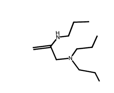 C=C(CN(CCC)CCC)NCCC